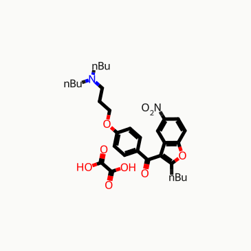 CCCCc1oc2ccc([N+](=O)[O-])cc2c1C(=O)c1ccc(OCCCN(CCCC)CCCC)cc1.O=C(O)C(=O)O